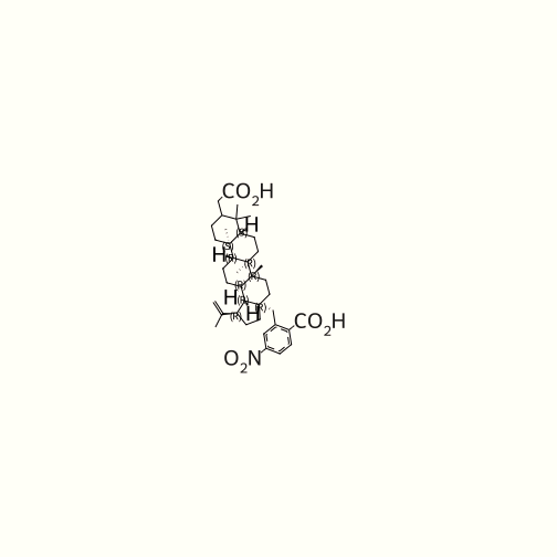 C=C(C)[C@@H]1CC[C@]2(Cc3cc([N+](=O)[O-])ccc3C(=O)O)CC[C@]3(C)[C@H](CC[C@@H]4[C@@]5(C)CCC(CC(=O)O)C(C)(C)[C@@H]5CC[C@]43C)[C@@H]12